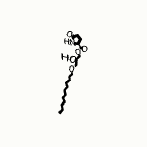 CCC=CCCCCCCCCOCC(O)COC(=O)[C@@H]1CCC(=O)N1